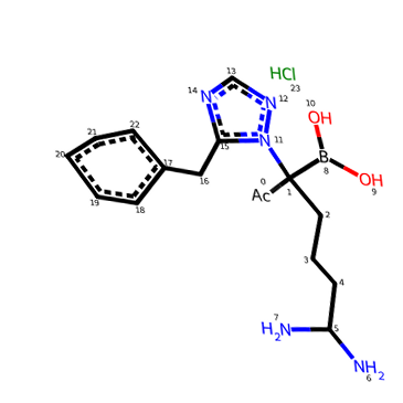 CC(=O)C(CCCC(N)N)(B(O)O)n1ncnc1Cc1ccccc1.Cl